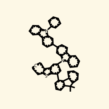 CC1(C)c2ccccc2-c2c(-c3cc(-n4c5ccccc5c5ccc(-c6ccc7c8ccccc8n(-c8ccccc8)c7c6)cc54)cc4c3sc3ccccc34)cccc21